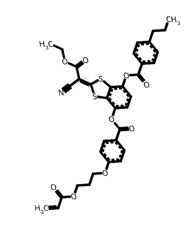 C=CC(=O)OCCCOc1ccc(C(=O)Oc2ccc(OC(=O)c3ccc(CCC)cc3)c3c2S/C(=C(\C#N)C(=O)OCC)S3)cc1